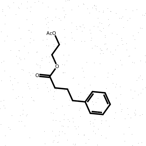 CC(=O)OCCOC(=O)CCCc1ccccc1